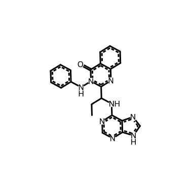 CCC(Nc1ncnc2[nH]cnc12)c1nc2ccccc2c(=O)n1Nc1ccccc1